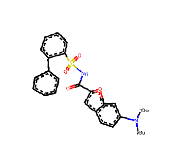 CCCCN(CCCC)c1ccc2cc(C(=O)NS(=O)(=O)c3ccccc3-c3ccccc3)oc2c1